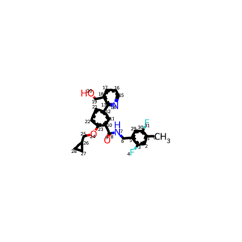 Cc1cc(F)c(CNC(=O)c2cc(-c3ncccc3CO)ccc2OCC2CC2)cc1F